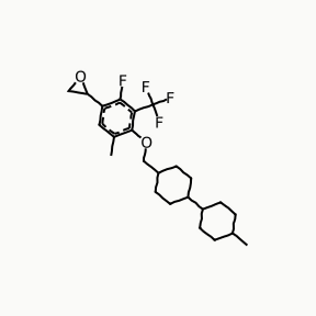 Cc1cc(C2CO2)c(F)c(C(F)(F)F)c1OCC1CCC(C2CCC(C)CC2)CC1